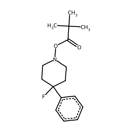 CC(C)(C)C(=O)ON1CCC(F)(c2ccccc2)CC1